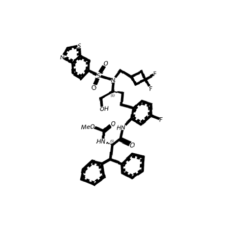 COC(=O)N[C@H](C(=O)Nc1cc(F)ccc1CC[C@@H](CO)N(CC1CC(F)(F)C1)S(=O)(=O)c1ccc2ncsc2c1)C(c1ccccc1)c1ccccc1